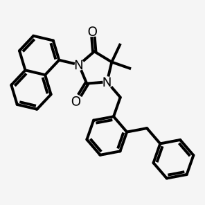 CC1(C)C(=O)N(c2cccc3ccccc23)C(=O)N1Cc1ccccc1Cc1ccccc1